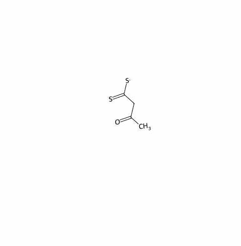 CC(=O)CC([S])=S